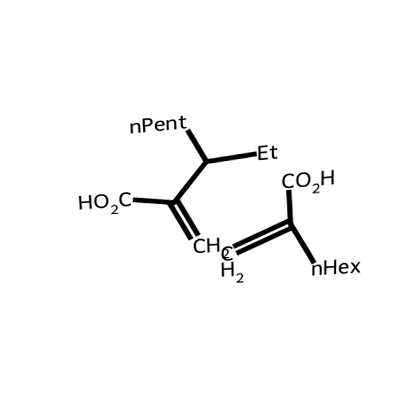 C=C(C(=O)O)C(CC)CCCCC.C=C(CCCCCC)C(=O)O